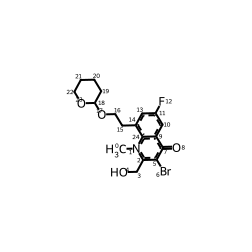 Cn1c(CO)c(Br)c(=O)c2cc(F)cc(CCOC3CCCCO3)c21